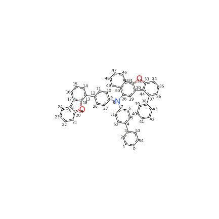 c1ccc(-c2ccc(N(c3ccc(-c4cccc5c4oc4ccccc45)cc3)c3cc4c(oc5cccc(-c6ccccc6)c54)c4ccccc34)cc2)cc1